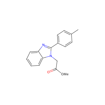 COC(=O)Cn1c(-c2ccc(C)cc2)nc2ccccc21